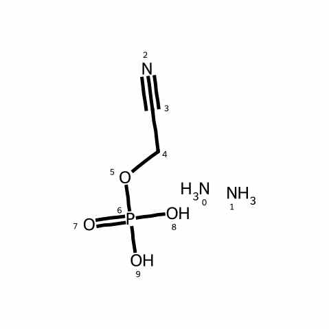 N.N.N#CCOP(=O)(O)O